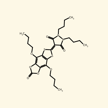 CCCCOc1c2c(c(OCCCC)c3oc(=O)oc13)SC(=C1C(=O)N(CCCC)N(CCCC)C1=O)S2